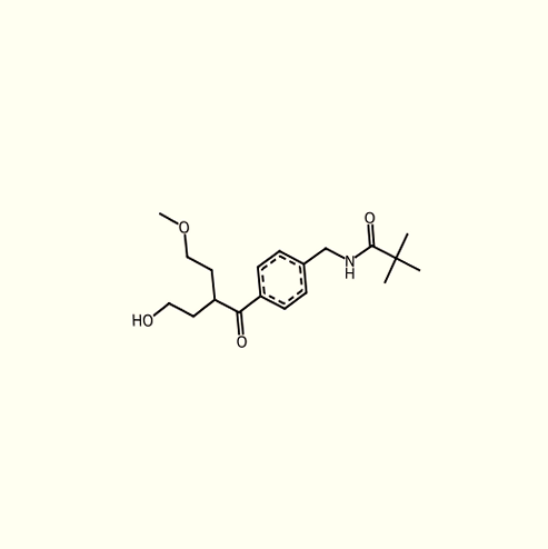 COCCC(CCO)C(=O)c1ccc(CNC(=O)C(C)(C)C)cc1